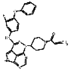 C=CC(=O)N1CCC(N2N=C(Nc3ccc(Oc4ccccc4)c(F)c3)c3c[nH]c4ncnc2c34)CC1